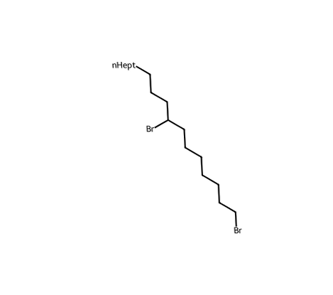 CCCCCCCCCCC(Br)CCCCCCCBr